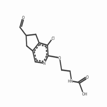 O=CC1Cc2cnc(OCCNC(=O)O)c(Cl)c2C1